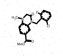 COC(=O)c1ccc2c(c1)N(Cc1c(F)cccc1Cl)C(=O)CN2C